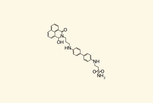 NS(=O)(=O)CCNc1ccc(-c2ccc(NCCCN3C(=O)c4cccc5cccc(c45)C3O)cc2)cc1